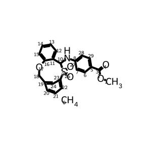 C.COC(=O)c1ccc(NC2c3ccccc3OCc3cccc(c3)S2(=O)=O)cc1